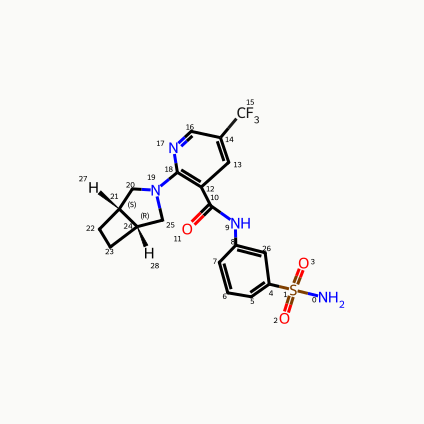 NS(=O)(=O)c1cccc(NC(=O)c2cc(C(F)(F)F)cnc2N2C[C@H]3CC[C@H]3C2)c1